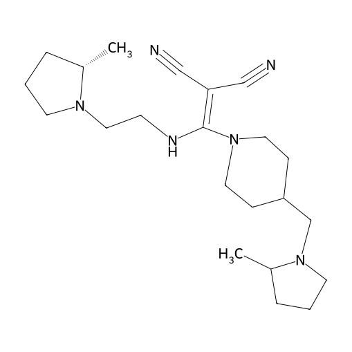 CC1CCCN1CC1CCN(C(NCCN2CCC[C@@H]2C)=C(C#N)C#N)CC1